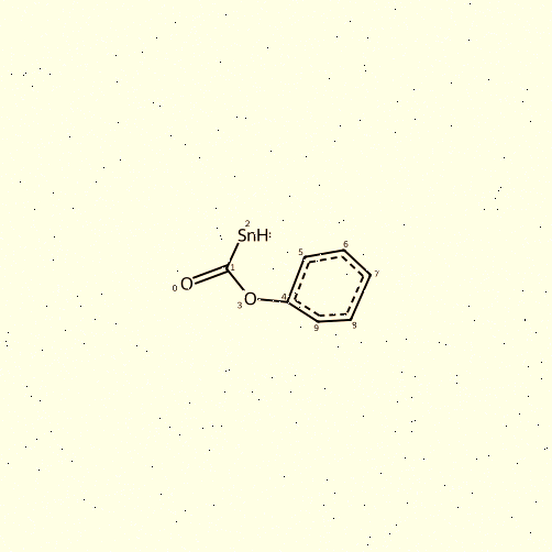 O=[C]([SnH])Oc1ccccc1